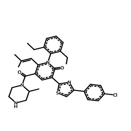 CCc1cccc(CC)c1-n1c(C=C(C)C)c(C(=O)N2CCNCC2C)cc(-c2nc(-c3ccc(Cl)cc3)cs2)c1=O